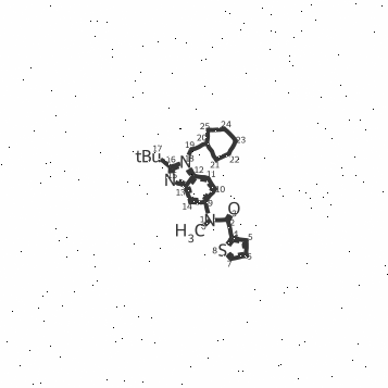 CN(C(=O)c1cccs1)c1ccc2c(c1)nc(C(C)(C)C)n2CC1CCCCC1